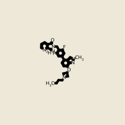 [2H]C1([2H])c2ncccc2C(=O)N1Cc1c(F)cc(-c2ccc(OC3CN(CCCC)C3)c3nn(C)cc23)cc1F